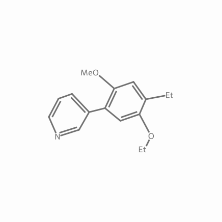 CCOc1cc(-c2cccnc2)c(OC)cc1CC